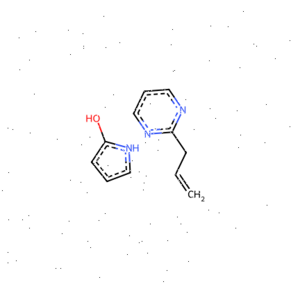 C=CCc1ncccn1.Oc1ccc[nH]1